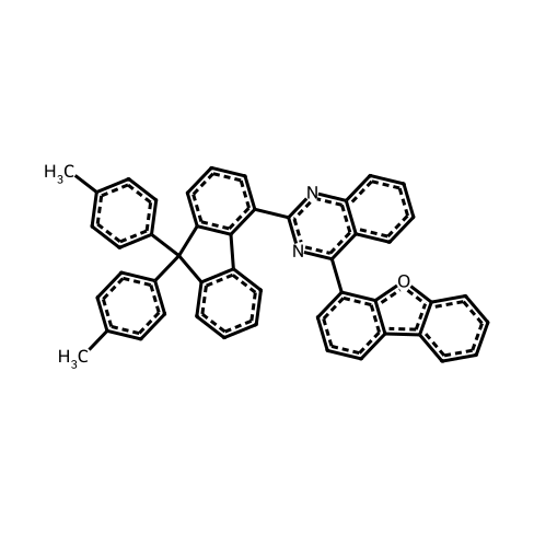 Cc1ccc(C2(c3ccc(C)cc3)c3ccccc3-c3c(-c4nc(-c5cccc6c5oc5ccccc56)c5ccccc5n4)cccc32)cc1